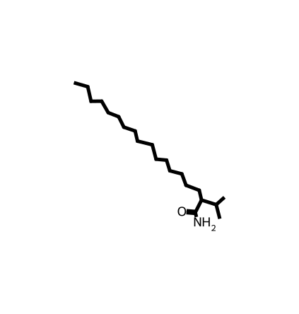 CCCCCCCCCCCCCCCCC(C(N)=O)C(C)C